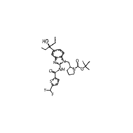 CCC(O)(CC)c1ccc2c(c1)nc(NC(=O)c1ccc(C(F)F)s1)n2CC1CCCN1C(=O)OC(C)(C)C